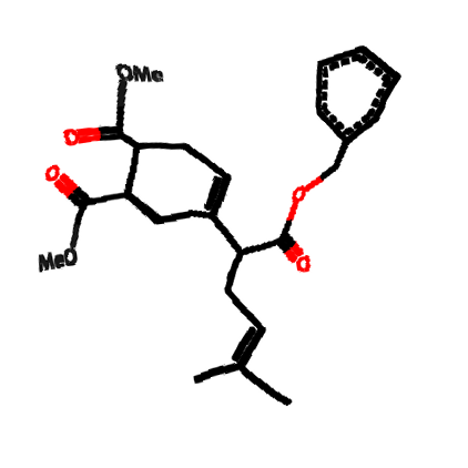 COC(=O)C1CC=C(C(CC=C(C)C)C(=O)OCc2ccccc2)CC1C(=O)OC